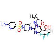 C[C@H]1COCCN1C[C@H]1CN(S(=O)(=O)c2ccc(N)nc2)CCN1c1ncc([C@@](C)(O)C(F)(F)F)cn1